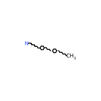 CCCCCCC[C@H]1CC[C@H](CCCCC2CCC(CCC=CC=CC#N)CC2)CC1